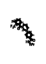 CCCNC(=O)c1ccc(N2C=CCN(C(=O)c3cccc(F)c3C(F)(F)F)C2)nc1